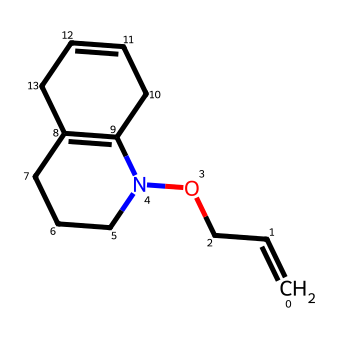 C=CCON1CCCC2=C1CC=CC2